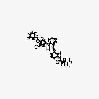 C[C@H](N)C(=O)Nc1cccc(C#Cc2cncnc2Nc2ccc(OCc3cccc(F)c3)c(Cl)c2)c1